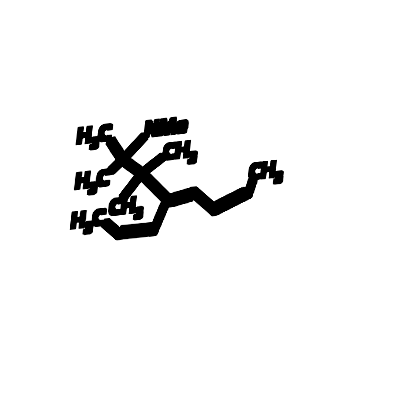 C\C=C/C=C(\C=C/C)C(C)(C)C(C)(C)NC